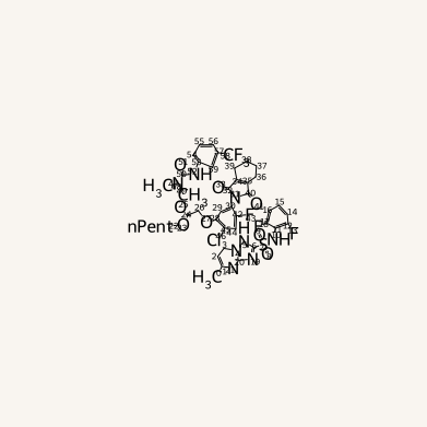 CC1=CCN2NC(S(=O)(=O)Nc3c(F)cccc3F)=NC2=N1.CCCCCOC(=O)COc1cc(N2C(=O)C3=C(CCCC3)C2=O)c(F)cc1Cl.CN(C)C(=O)Nc1cccc(C(F)(F)F)c1